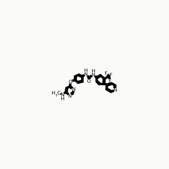 CNc1cc(Oc2ccc(NC(=O)Nc3ccc(-c4ccncc4)c(C(F)(F)F)c3)cc2)ncn1